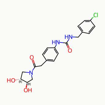 O=C(NCc1ccc(Cl)cc1)Nc1ccc(CC(=O)N2C[C@@H](O)[C@H](O)C2)cc1